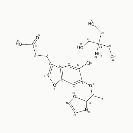 CC(Oc1cc2onc(CCC(=O)O)c2cc1Cl)c1ncco1.NC(CO)(CO)CO